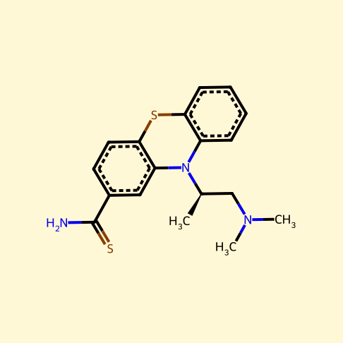 C[C@H](CN(C)C)N1c2ccccc2Sc2ccc(C(N)=S)cc21